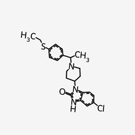 CCSc1ccc(C(C)N2CCC(n3c(=O)[nH]c4cc(Cl)ccc43)CC2)cc1